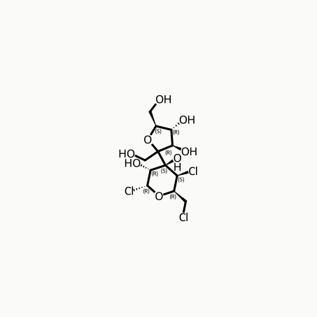 OC[C@@H]1OC(CO)([C@@]2(O)[C@@H](O)[C@@H](Cl)O[C@H](CCl)[C@@H]2Cl)[C@H](O)[C@H]1O